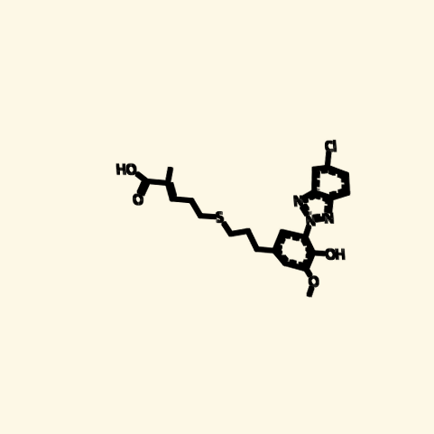 COc1cc(CCCSCC/C=C(\C)C(=O)O)cc(-n2nc3ccc(Cl)cc3n2)c1O